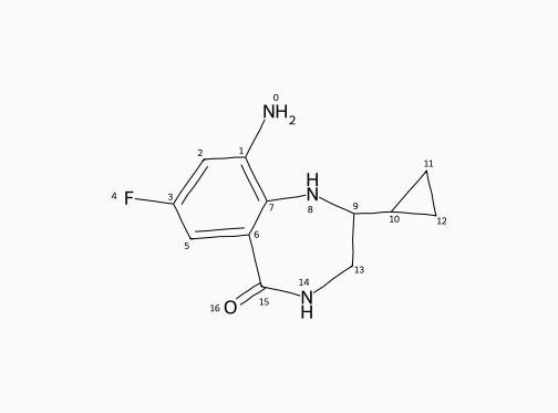 Nc1cc(F)cc2c1NC(C1CC1)CNC2=O